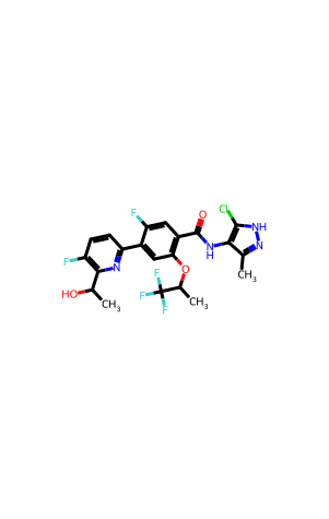 Cc1n[nH]c(Cl)c1NC(=O)c1cc(F)c(-c2ccc(F)c(C(C)O)n2)cc1OC(C)C(F)(F)F